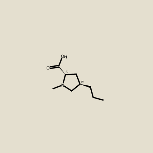 CCC[C@@H]1C[C@@H](C(=O)O)N(C)C1